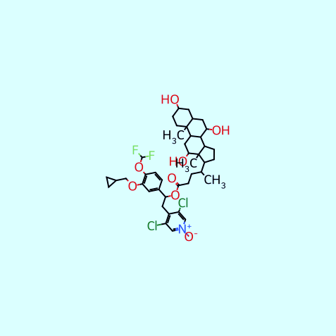 CC(CCC(=O)OC(Cc1c(Cl)c[n+]([O-])cc1Cl)c1ccc(OC(F)F)c(OCC2CC2)c1)C1CCC2C3C(O)CC4CC(O)CCC4(C)C3CC(O)C12C